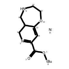 CC(C)(C)OC(=O)C1=NCC2CNCCOC2=C1.[N]